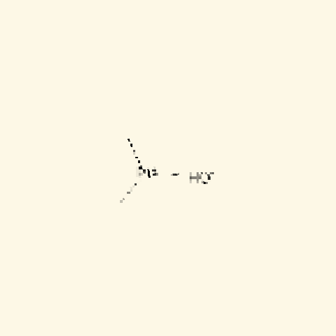 [CH3][Pt+]([CH3])[CH3].[OH-]